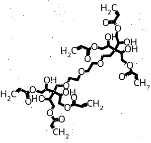 C=CC(=O)OCC(O)C(CCOCCOCCOCC(C(O)COC(=O)C=C)(C(O)COC(=O)C=C)C(O)COC(=O)C=C)(C(O)COC(=O)C=C)C(O)COC(=O)C=C